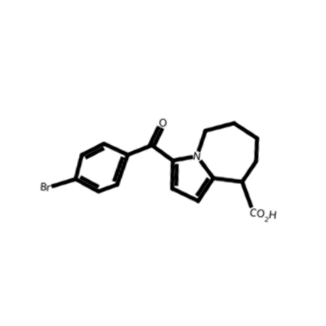 O=C(c1ccc(Br)cc1)c1ccc2n1CCCCC2C(=O)O